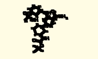 CC(C)(C)OC(=O)N[C@H]1CCCN(c2ncc(C(N)=O)c(Nc3cccc(S(C)(=N)=O)c3)n2)C1